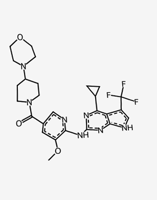 COc1cc(C(=O)N2CCC(N3CCOCC3)CC2)cnc1Nc1nc(C2CC2)c2c(C(F)(F)F)c[nH]c2n1